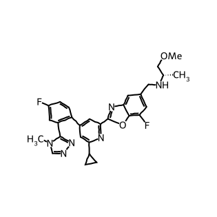 COC[C@H](C)NCc1cc(F)c2oc(-c3cc(-c4ccc(F)cc4-c4nncn4C)cc(C4CC4)n3)nc2c1